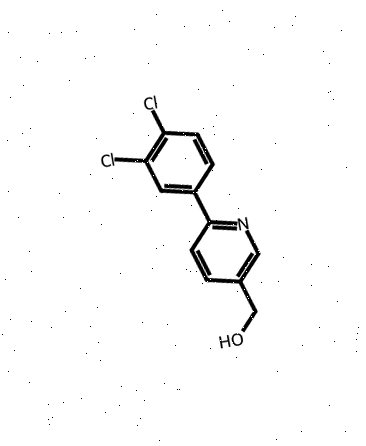 OCc1ccc(-c2ccc(Cl)c(Cl)c2)nc1